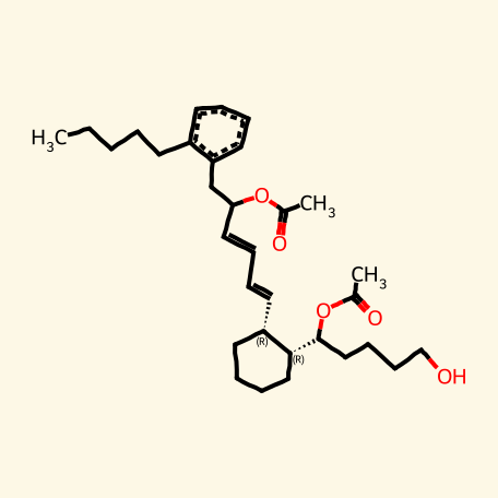 CCCCCc1ccccc1CC(C=CC=C[C@H]1CCCC[C@H]1C(CCCCO)OC(C)=O)OC(C)=O